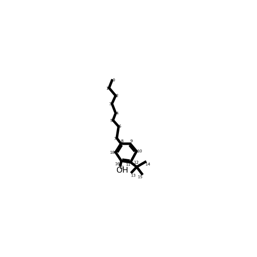 CCCCCCCCc1ccc(C(C)(C)C)c(O)c1